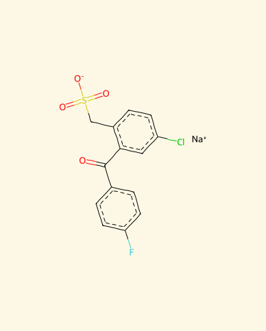 O=C(c1ccc(F)cc1)c1cc(Cl)ccc1CS(=O)(=O)[O-].[Na+]